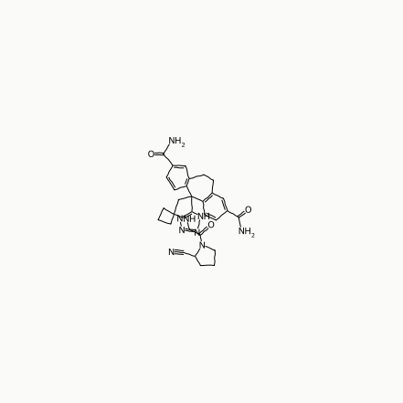 N#CC1CCCN1C(=O)CNC1(CC2(c3nnn[nH]3)c3ccc(C(N)=O)cc3CCc3cc(C(N)=O)ccc32)CCC1